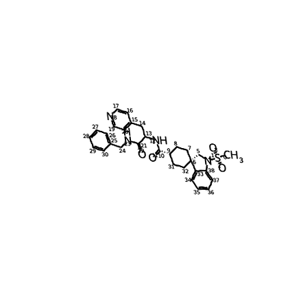 CS(=O)(=O)N1C[C@]2(CC[C@@H](C(=O)NC(Cc3ccncc3)C(=O)NCc3ccccc3)CC2)c2ccccc21